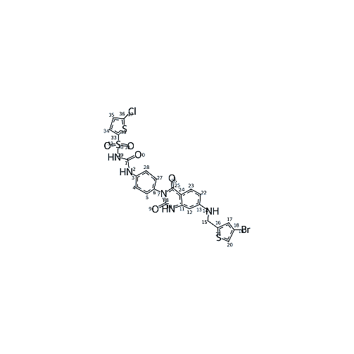 O=C(Nc1ccc(-n2c(=O)[nH]c3cc(NCc4cc(Br)cs4)ccc3c2=O)cc1)NS(=O)(=O)c1ccc(Cl)s1